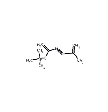 C=C(C)/C=N/C(=C)O[Si](C)(C)C